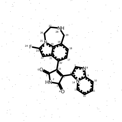 O=C1NC(=O)C(c2cnc3ccccn23)=C1c1ccc2c3c1cc(F)n3CCNC2